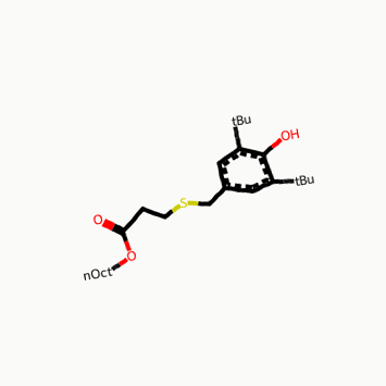 CCCCCCCCOC(=O)CCSCc1cc(C(C)(C)C)c(O)c(C(C)(C)C)c1